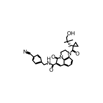 CC(C)(CO)SC1(C(=O)N2CCn3c(=O)c(C(=O)NCc4ccc(C#N)cc4)cc4cccc2c43)CC1